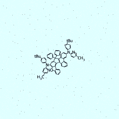 Cc1ccc(N(c2ccc(C(C)(C)C)cc2)c2ccc3c4c(c5ccccc5c3c2)-c2c(cc(N(c3ccc(C(C)(C)C)cc3)c3ccc(C)cn3)c3oc5ccccc5c23)C4(c2ccccc2)c2ccccc2)nc1